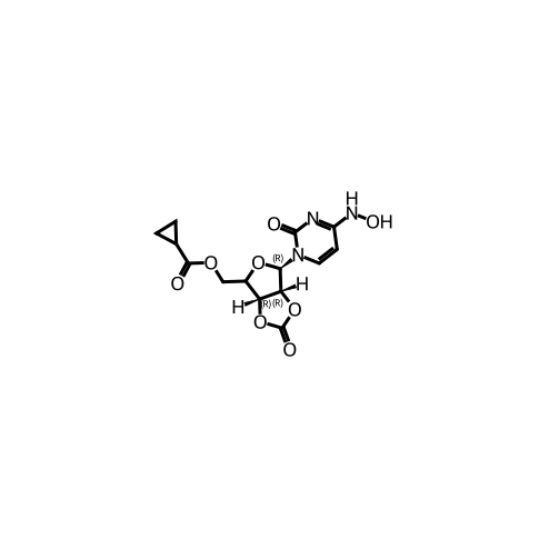 O=C1O[C@@H]2[C@H](O1)C(COC(=O)C1CC1)O[C@H]2n1ccc(NO)nc1=O